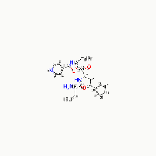 CC(C)Cc1nc(-c2ccncc2)oc1C(=O)C(CCc1ccccc1)NC(=O)C(N)CC(C)(C)C